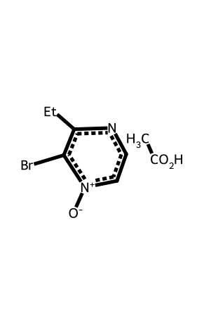 CC(=O)O.CCc1ncc[n+]([O-])c1Br